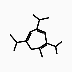 CC1=C(C(C)C)C=C(C(C)C)C=C(C(C)C)C1